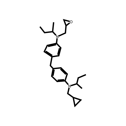 CCC(C)N(CC1CC1)c1ccc(Cc2ccc(N(CC3CO3)C(C)CC)cc2)cc1